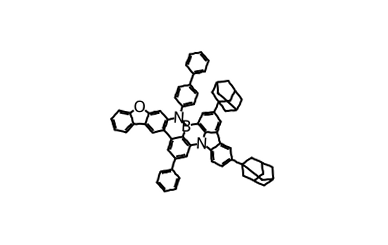 c1ccc(-c2ccc(N3B4c5c(cc(-c6ccccc6)cc5-n5c6ccc(C78CC9CC(CC(C9)C7)C8)cc6c6cc(C78CC9CC(CC(C9)C7)C8)cc4c65)-c4cc5c(cc43)oc3ccccc35)cc2)cc1